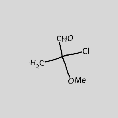 [CH2]C(Cl)(C=O)OC